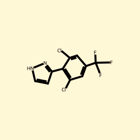 FC(F)(F)c1cc(Cl)c(-c2cc[nH]n2)c(Cl)c1